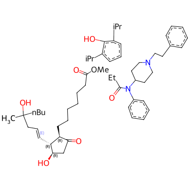 CC(C)c1cccc(C(C)C)c1O.CCC(=O)N(c1ccccc1)C1CCN(CCc2ccccc2)CC1.CCCCC(C)(O)C/C=C/[C@H]1[C@H](O)CC(=O)[C@@H]1CCCCCCC(=O)OC